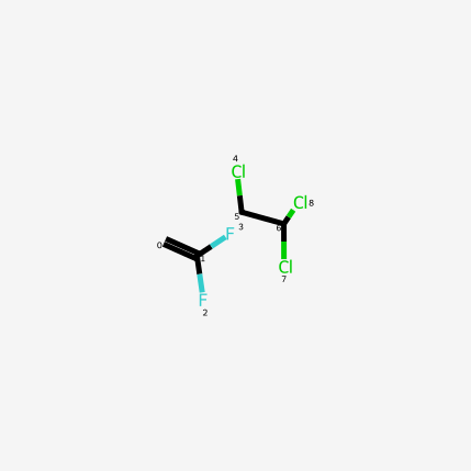 C=C(F)F.ClCC(Cl)Cl